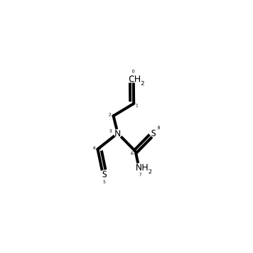 C=CCN([C]=S)C(N)=S